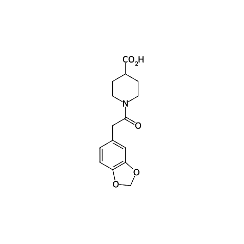 O=C(O)C1CCN(C(=O)Cc2ccc3c(c2)OCO3)CC1